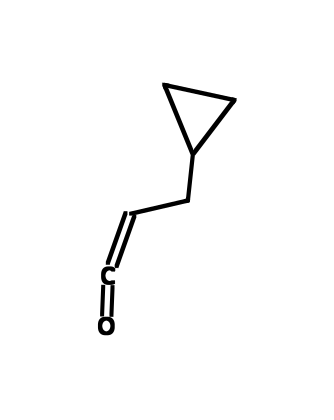 O=C=CCC1CC1